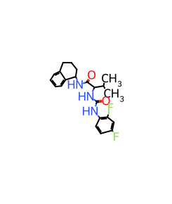 CC(C)C(NC(=O)Nc1ccc(F)cc1F)C(=O)NC1CCCc2ccccc21